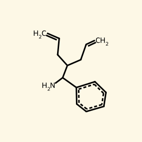 C=CCC(CC=C)C(N)c1ccccc1